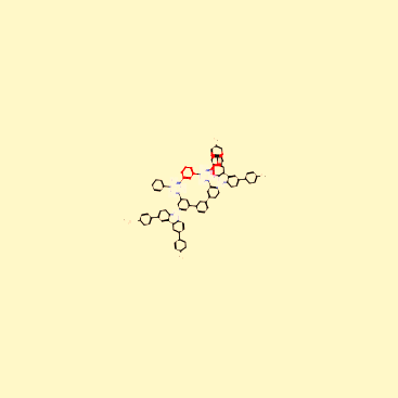 [C-]#[N+]c1ccc(-c2ccc3c(c2)c2cc(-c4ccc(C#N)cc4)ccc2n3-c2cc(-c3cccc(-c4ccc(-n5c6ccc(-c7ccc([N+]#[C-])cc7)cc6c6cc(-c7ccc([N+]#[C-])cc7)ccc65)c(-c5nc(-c6ccccc6)nc(-c6ccccc6)n5)c4)c3)cc(-c3nc(-c4ccccc4)nc(-c4ccccc4)n3)c2)cc1